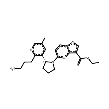 CCOC(=O)c1cnn2ccc(N3CCC[C@@H]3c3cc(F)cnc3CCCN)nc12